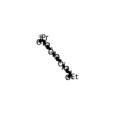 CCC(=O)CCOCCOCCOCCOCCOCCC(=O)C(C)C